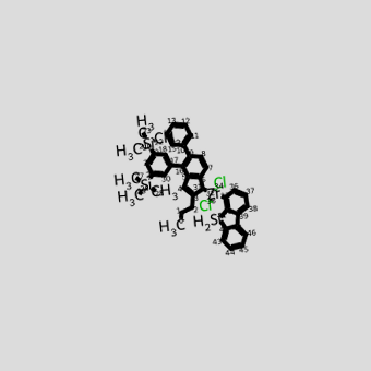 CCCC1=Cc2c(ccc(-c3ccccc3)c2-c2cc([Si](C)(C)C)cc([Si](C)(C)C)c2)[CH]1[Zr]([Cl])([Cl])[c]1cccc2c1[SiH2]c1ccccc1-2